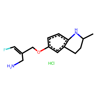 CC1CCc2cc(OC/C(=C/F)CN)ccc2N1.Cl